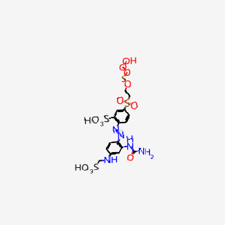 NC(=O)Nc1cc(NCS(=O)(=O)O)ccc1/N=N/c1ccc(S(=O)(=O)CCOSOOO)cc1S(=O)(=O)O